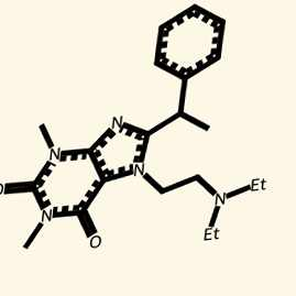 CCN(CC)CCn1c(C(C)c2ccccc2)nc2c1c(=O)n(C)c(=O)n2C